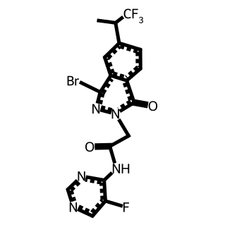 CC(c1ccc2c(=O)n(CC(=O)Nc3ncncc3F)nc(Br)c2c1)C(F)(F)F